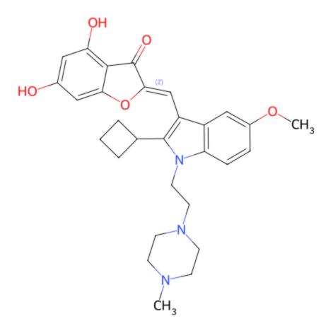 COc1ccc2c(c1)c(/C=C1\Oc3cc(O)cc(O)c3C1=O)c(C1CCC1)n2CCN1CCN(C)CC1